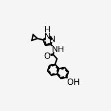 O=C(Cc1cccc2cc(O)ccc12)Nc1cc(C2CC2)[nH]n1